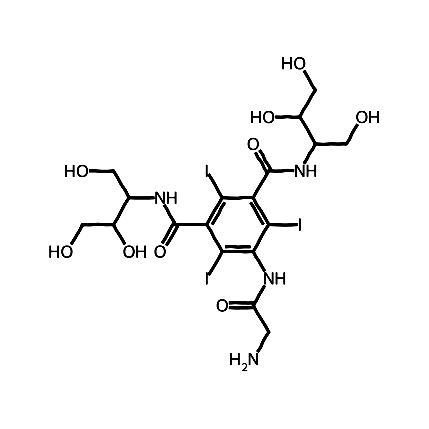 NCC(=O)Nc1c(I)c(C(=O)NC(CO)C(O)CO)c(I)c(C(=O)NC(CO)C(O)CO)c1I